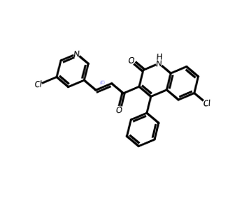 O=C(/C=C/c1cncc(Cl)c1)c1c(-c2ccccc2)c2cc(Cl)ccc2[nH]c1=O